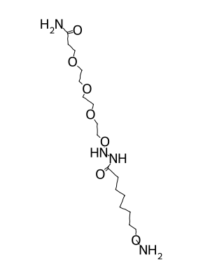 NOCCCCCCCC(=O)NNOCCOCCOCCOCCC(N)=O